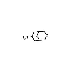 NN1CC2COCC(C2)C1